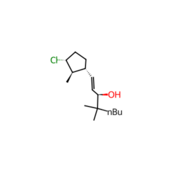 CCCCC(C)(C)[C@H](O)/C=C/[C@H]1CC[C@@H](Cl)[C@@H]1C